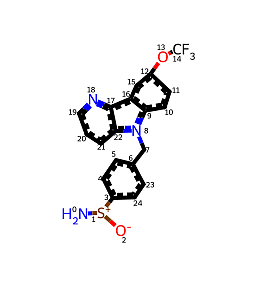 N[S+]([O-])c1ccc(Cn2c3ccc(OC(F)(F)F)cc3c3ncccc32)cc1